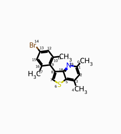 Cc1cc(C)c2scc(-c3c(C)cc(Br)cc3C)c2n1